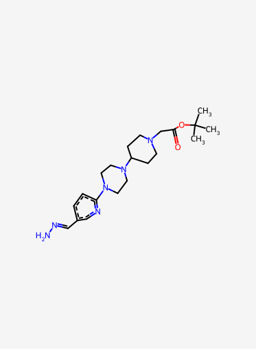 CC(C)(C)OC(=O)CN1CCC(N2CCN(c3ccc(C=NN)cn3)CC2)CC1